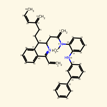 C=CC1=NC(CC(=C)N(C)c2ccccc2Nc2cccc(-c3ccccc3)c2)C(CCC(=C)/C=C\C)c2ccccc21